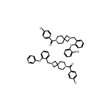 N#Cc1ccccc1Oc1ccccc1CN1CC2(CCN(C(=O)c3ccc(Cl)cc3)CC2)C1.O=C(c1ccc(Cl)cc1)N1CCC2(CC1)CN(Cc1ccccc1Oc1cccnc1)C2